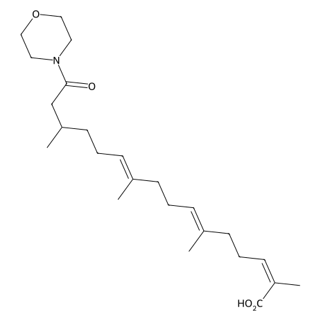 C/C(=C/CC/C(C)=C/CC/C(C)=C/CCC(C)CC(=O)N1CCOCC1)C(=O)O